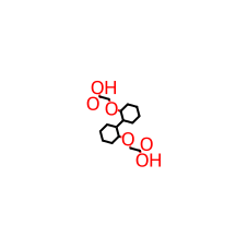 O=C(O)COC1CCCCC1C1CCCCC1OCC(=O)O